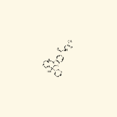 CCn1c(C(O)(c2ccccc2)c2ccccc2)nc2ccc(C(=O)NC[C@@H](C)O)cc21